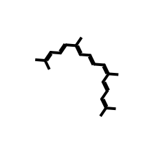 CC(C)=CC=CC(C)=CC=CC=C(C)C=CC=C(C)C